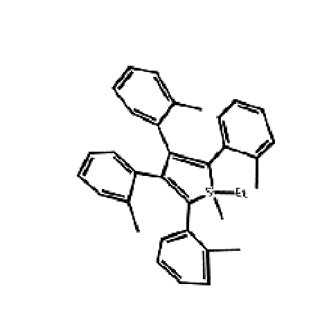 CC[Si]1(C)C(c2ccccc2C)=C(c2ccccc2C)C(c2ccccc2C)=C1c1ccccc1C